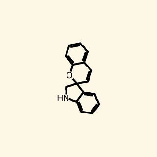 C1=CC2(CNc3ccccc32)Oc2ccccc21